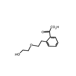 O=C(O)C(=O)c1ccccc1CCOCCO